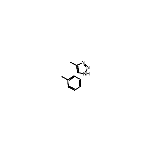 Cc1c[nH]nn1.Cc1ccccc1